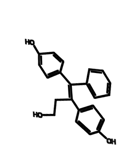 OCC/C(=C(/c1ccccc1)c1ccc(O)cc1)c1ccc(O)cc1